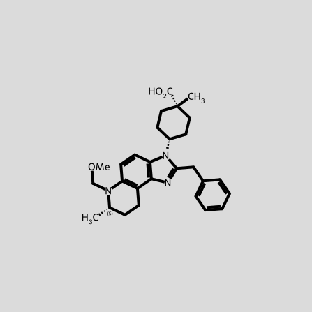 COCN1c2ccc3c(nc(Cc4ccccc4)n3[C@H]3CC[C@@](C)(C(=O)O)CC3)c2CC[C@@H]1C